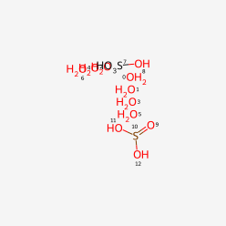 O.O.O.O.O.O.O.O=S(=O)(O)O.O=S(O)O